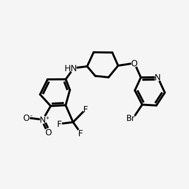 O=[N+]([O-])c1ccc(NC2CCC(Oc3cc(Br)ccn3)CC2)cc1C(F)(F)F